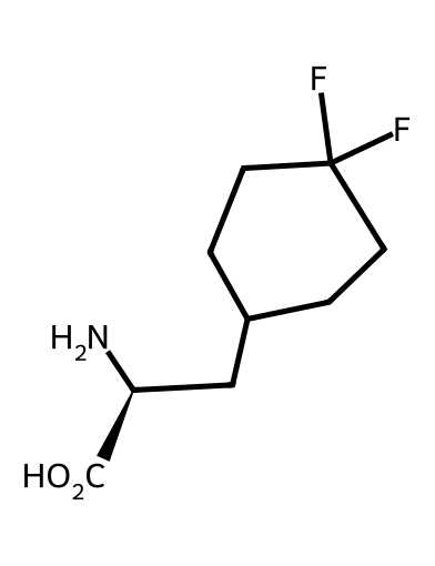 N[C@@H](CC1CCC(F)(F)CC1)C(=O)O